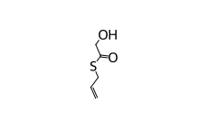 C=CCSC(=O)CO